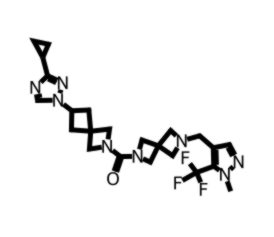 Cn1ncc(CN2CC3(C2)CN(C(=O)N2CC4(CC(n5cnc(C6CC6)n5)C4)C2)C3)c1C(F)(F)F